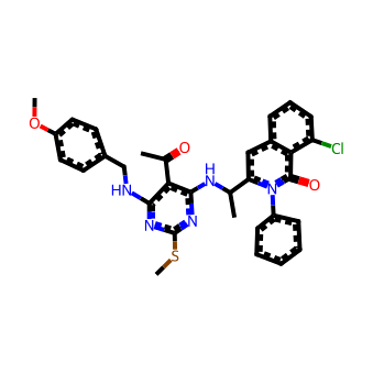 COc1ccc(CNc2nc(SC)nc(NC(C)c3cc4cccc(Cl)c4c(=O)n3-c3ccccc3)c2C(C)=O)cc1